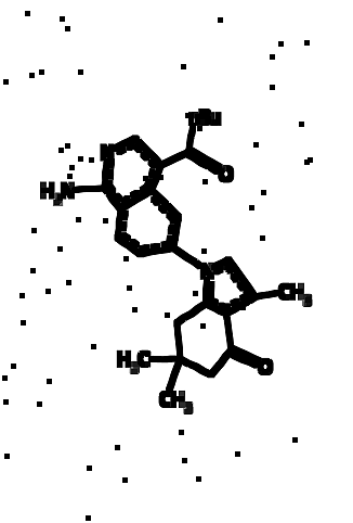 CCCCC(=O)c1cnc(N)c2ccc(-n3cc(C)c4c3CC(C)(C)CC4=O)cc12